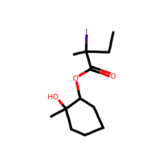 CCC(C)(I)C(=O)OC1CCCCC1(C)O